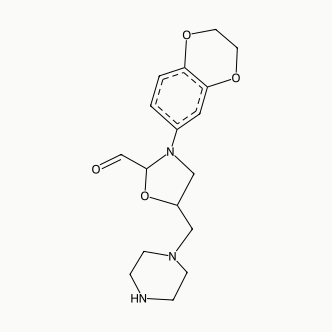 O=CC1OC(CN2CCNCC2)CN1c1ccc2c(c1)OCCO2